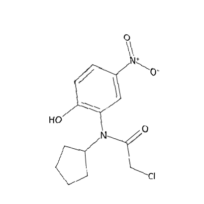 O=C(CCl)N(c1cc([N+](=O)[O-])ccc1O)C1CCCC1